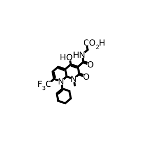 CN1C(=O)C(C(=O)NCC(=O)O)=C(O)C2=CC=C(C(F)(F)F)N(C3=CCCCC3)C21